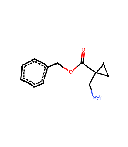 [NH]CC1(C(=O)OCc2ccccc2)CC1